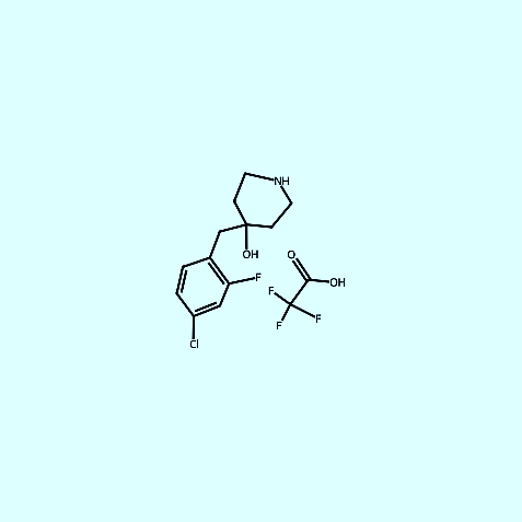 O=C(O)C(F)(F)F.OC1(Cc2ccc(Cl)cc2F)CCNCC1